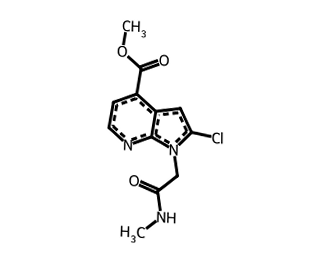 CNC(=O)Cn1c(Cl)cc2c(C(=O)OC)ccnc21